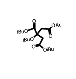 CC(=O)OC(=O)CC(CC(=O)OCC(C)C)(OCC(C)C)C(=O)OCC(C)C